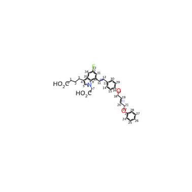 O=C(O)CCCc1cn(CC(=O)O)c2c(/C=C/c3ccc(OC/C=C/COc4ccccc4)cc3)cc(F)cc12